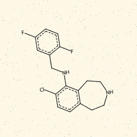 Fc1ccc(F)c(CNc2c(Cl)ccc3c2CCNCC3)c1